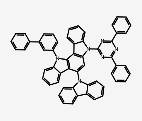 c1ccc(-c2cccc(-n3c4ccccc4c4c(-n5c6ccccc6c6ccccc65)cc5c(c6ccccc6n5-c5nc(-c6ccccc6)nc(-c6ccccc6)n5)c43)c2)cc1